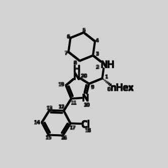 CCCCCC[C@@H](NC1CCCCC1)c1nc(-c2ccccc2Cl)c[nH]1